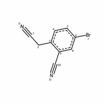 N#CCc1ccc(Br)cc1C#N